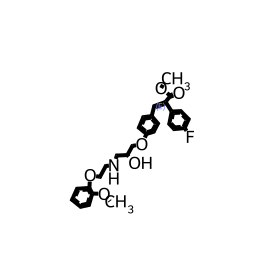 COC(=O)/C(=C/c1ccc(OCC(O)CNCCOc2ccccc2OC)cc1)c1ccc(F)cc1